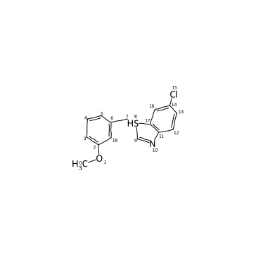 COc1cccc(C[SH]2C=Nc3ccc(Cl)cc32)c1